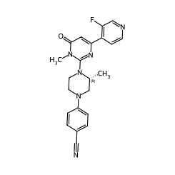 C[C@@H]1CN(c2ccc(C#N)cc2)CCN1c1nc(-c2ccncc2F)cc(=O)n1C